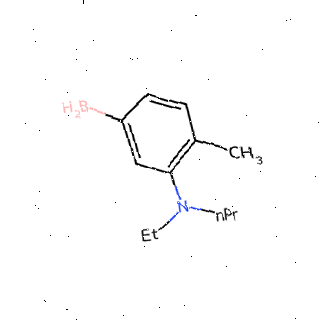 Bc1ccc(C)c(N(CC)CCC)c1